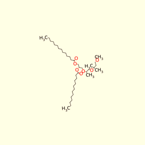 CCCCCCCCCCCCCC(=O)OCC(COC(C)COC(C)(C)CCOC)OC(=O)CCCCCCCCCCCCC